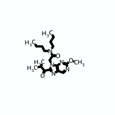 CCCCN(CCCC)C(=O)Cn1c(C(=O)C(C)C)nc2cnc(OC)nc21